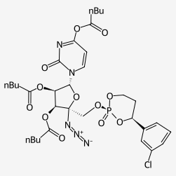 CCCCC(=O)Oc1ccn([C@@H]2O[C@@](CO[P@@]3(=O)OCC[C@@H](c4cccc(Cl)c4)O3)(N=[N+]=[N-])[C@@H](OC(=O)CCCC)[C@H]2OC(=O)CCCC)c(=O)n1